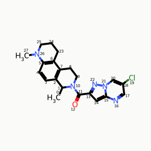 CC1c2ccc3c(c2CCN1C(=O)c1cc2ncc(Cl)cn2n1)CCCN3C